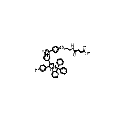 COC(=O)CCC(=O)NCCCOc1ccc(-c2cnc3ccc(-c4cn(C(c5ccccc5)(c5ccccc5)C5C=CC=CC5)nc4-c4ccc(F)cc4)cn23)cc1